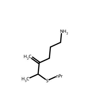 C=C(CCCN)C(C)SCCC